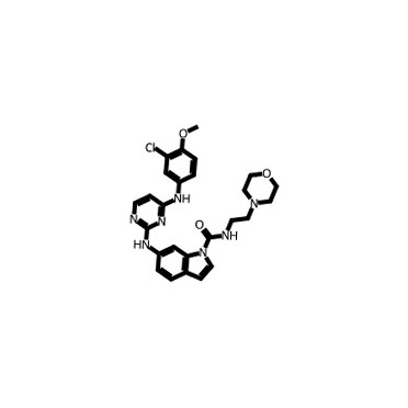 COc1ccc(Nc2ccnc(Nc3ccc4ccn(C(=O)NCCN5CCOCC5)c4c3)n2)cc1Cl